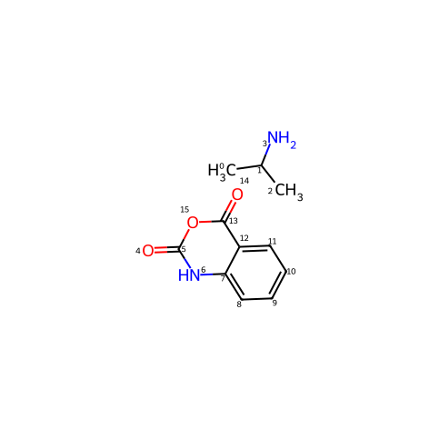 CC(C)N.O=c1[nH]c2ccccc2c(=O)o1